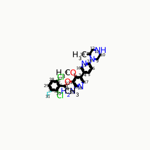 COc1c(-c2ccc(N3CCNC[C@@H]3C)nc2)cnc(N)c1OC(C)c1c(Cl)ccc(F)c1Cl